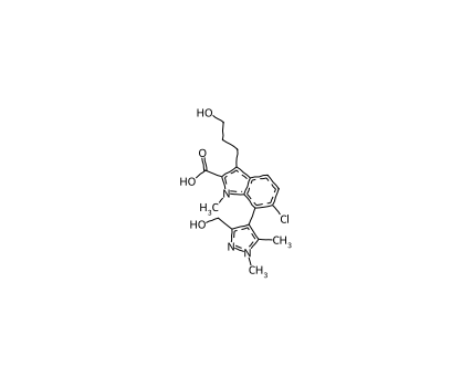 Cc1c(-c2c(Cl)ccc3c(CCCO)c(C(=O)O)n(C)c23)c(CO)nn1C